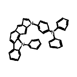 c1ccc(N(c2ccccc2)c2ccc(-n3ccc4cc5ccc6c7ccccc7n(-c7ccccc7)c6c5cc43)cc2)cc1